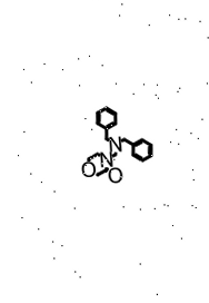 O=C1COCCN1CN(Cc1ccccc1)Cc1ccccc1